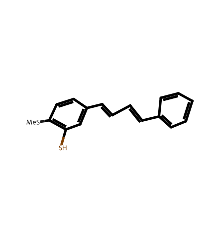 CSc1ccc(/C=C/C=C/c2ccccc2)cc1S